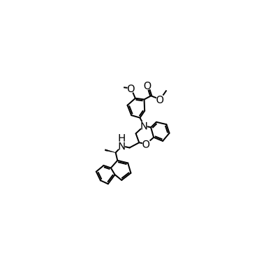 COC(=O)c1cc(N2CC(CN[C@H](C)c3cccc4ccccc34)Oc3ccccc32)ccc1OC